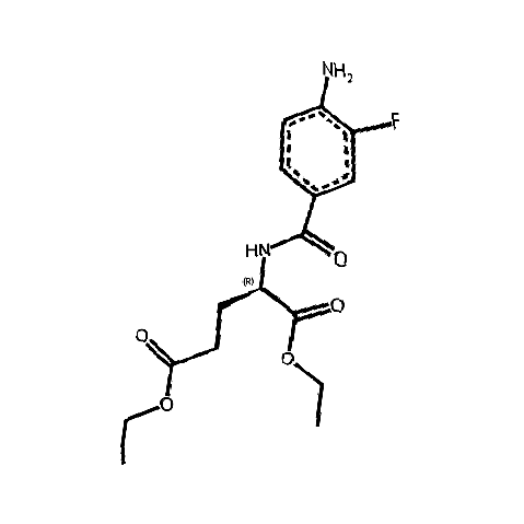 CCOC(=O)CC[C@@H](NC(=O)c1ccc(N)c(F)c1)C(=O)OCC